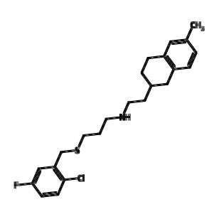 Cc1ccc2c(c1)CCC(CCNCCCSCc1cc(F)ccc1Cl)C2